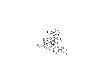 C=C(C)C(=O)OC(C)n1c(=O)n(C(C)OC(=O)C(=C)C)c(=O)n(C(C)OC(=O)C(=C)C)c1=O